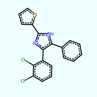 Clc1cccc(-c2nc(-c3cccs3)[nH]c2-c2ccccc2)c1Cl